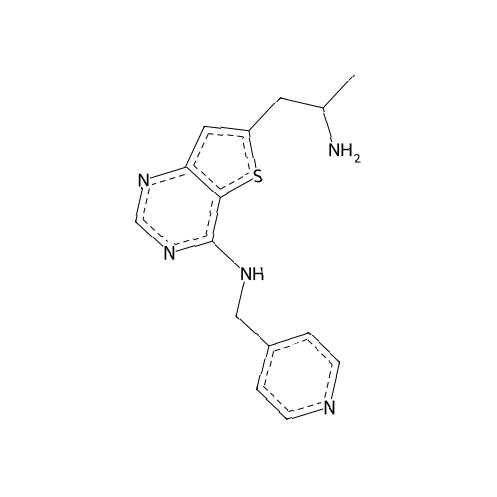 CC(N)Cc1cc2ncnc(NCc3ccncc3)c2s1